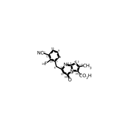 Cc1sc2nc(Cc3cccc(C#N)c3F)cc(=O)n2c1C(=O)O